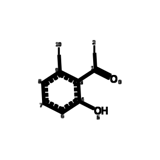 O=C(I)c1c(O)cccc1I